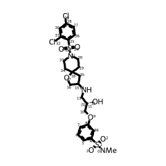 CNS(=O)(=O)c1cccc(OC[C@@H](O)CNC2COC3(CCN(S(=O)(=O)c4ccc(Cl)cc4Cl)CC3)C2)c1